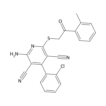 Cc1ccccc1C(=O)CSc1nc(N)c(C#N)c(-c2ccccc2Cl)c1C#N